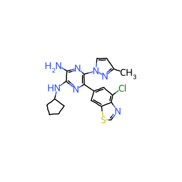 Cc1ccn(-c2nc(N)c(NC3CCCC3)nc2-c2cc(Cl)c3ncsc3c2)n1